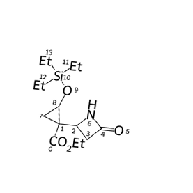 CCOC(=O)C1(C2CC(=O)N2)CC1O[Si](CC)(CC)CC